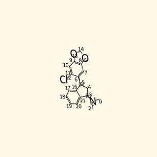 CN(C)[C@@H]1C[C@H](c2cc3c(cc2Cl)OCO3)c2ccccc21